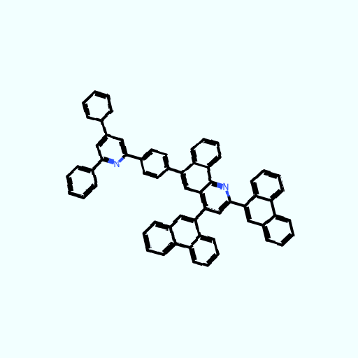 C1=CCC(c2cc(-c3ccccc3)nc(-c3ccc(-c4cc5c(-c6cc7ccccc7c7ccccc67)cc(-c6cc7ccccc7c7ccccc67)nc5c5ccccc45)cc3)c2)C=C1